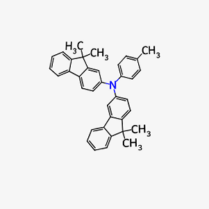 Cc1ccc(N(c2ccc3c(c2)-c2ccccc2C3(C)C)c2ccc3c(c2)C(C)(C)c2ccccc2-3)cc1